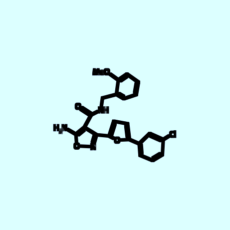 COc1ccccc1CNC(=O)c1c(-c2ccc(-c3cccc(Cl)c3)o2)noc1N